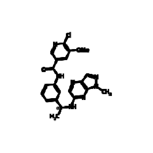 COc1cc(C(=O)Nc2cccc([C@H](C)Nc3cnc4cnn(C)c4n3)c2)cnc1Cl